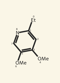 CCc1cc(OC)c(OC)cn1